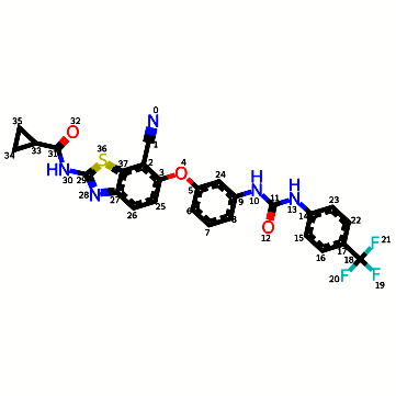 N#Cc1c(Oc2cccc(NC(=O)Nc3ccc(C(F)(F)F)cc3)c2)ccc2nc(NC(=O)C3CC3)sc12